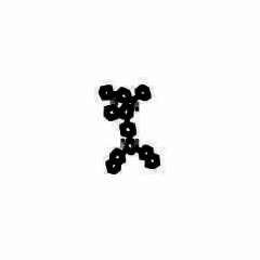 c1ccc(-c2nc3cc(-c4ccc(-c5nc(-c6ccc7ccccc7c6)cc(-c6ccc7ccccc7c6)n5)cc4)ccc3c3c2ccc2c4ccccc4n(-c4ccccc4)c23)cc1